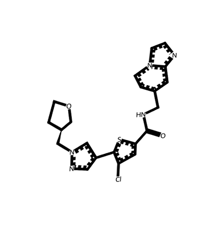 O=C(NCc1ccn2ccnc2c1)c1cc(Cl)c(-c2cnn(C[C@H]3CCOC3)c2)s1